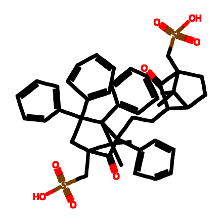 CC1(C)C2CCC1(CS(=O)(=O)O)C(=O)C2CCC1(c2ccccc2)C(=O)C2(CS(=O)(=O)O)CC(c3ccccc3)(c3ccccc3)C1(c1ccccc1)C2(C)C